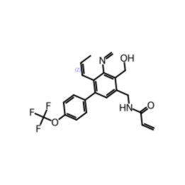 C=CC(=O)NCc1cc(-c2ccc(OC(F)(F)F)cc2)c(/C=C\C)c(N=C)c1CO